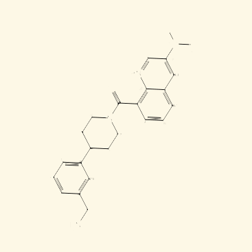 NCc1cccc(C2CCN(C(=O)c3cccc4cc(B(O)O)cnc34)CC2)c1